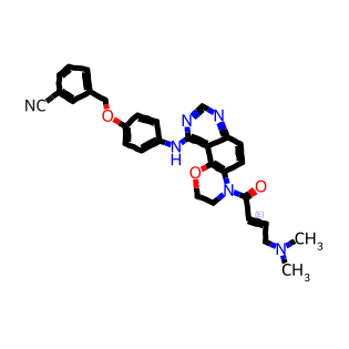 CN(C)C/C=C/C(=O)N1CCOc2c1ccc1ncnc(Nc3ccc(OCc4cccc(C#N)c4)cc3)c21